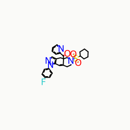 O=C(c1ccccn1)C12Cc3cnn(-c4ccc(F)cc4)c3C=C1CCN(S(=O)(=O)C1CCCCC1)C2